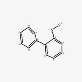 [S]Sc1ccccc1-c1[c]cccc1